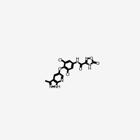 Cc1n[nH]c2ncc(Oc3c(Cl)cc(NC(=O)c4noc(=O)[nH]4)cc3Cl)cc12